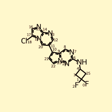 FC1(F)CC(Nc2ncc3c(-c4cnc5ncc(Cl)n5c4)ccn3n2)C1